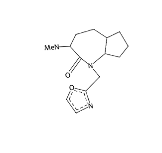 CNC1CCC2CCCC2N(Cc2ncco2)C1=O